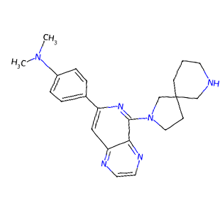 CN(C)c1ccc(-c2cc3nccnc3c(N3CCC4(CCCNC4)C3)n2)cc1